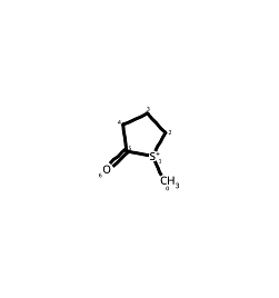 C[S+]1CCCC1=O